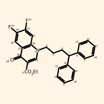 CCOC(=O)c1cn(CCCC(c2ccccc2)c2ccccc2)c2cc(F)c(F)cc2c1=O